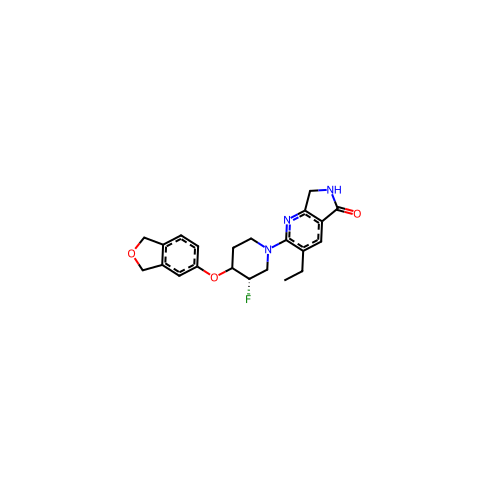 CCc1cc2c(nc1N1CCC(Oc3ccc4c(c3)COC4)[C@@H](F)C1)CNC2=O